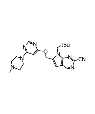 CN1CCN(c2cc(OCc3cc4cnc(C#N)nc4n3CC(C)(C)C)ncn2)CC1